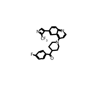 O=C(c1ccc(F)cc1)C1CCN(c2ccnc3ccc(C4=CN=C4C(F)(F)F)cc23)CC1